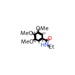 [CH2]CNC(=O)c1cc(OC)c(OC)c(OC)c1